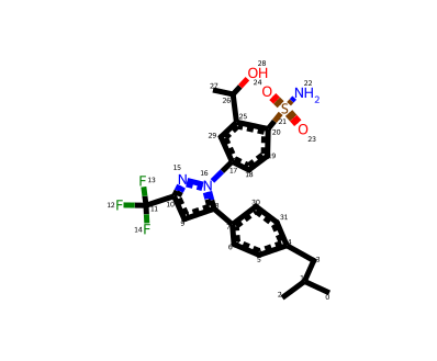 CC(C)Cc1ccc(-c2cc(C(F)(F)F)nn2-c2ccc(S(N)(=O)=O)c(C(C)O)c2)cc1